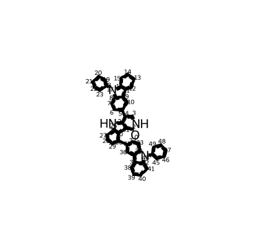 O=c1[nH]cc(-c2ccc3c(c2)c2ccccc2n3-c2ccccc2)c2[nH]c3cccc(-c4ccc5c(c4)c4ccccc4n5-c4ccccc4)c3c12